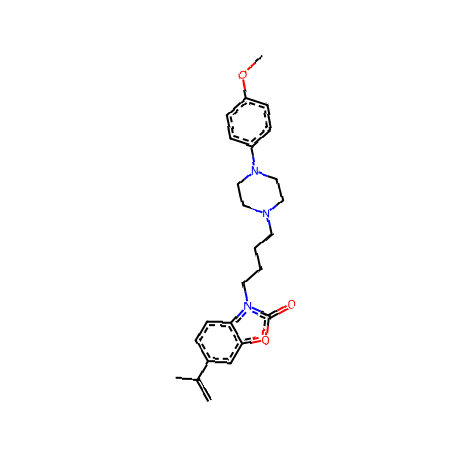 C=C(C)c1ccc2c(c1)oc(=O)n2CCCCN1CCN(c2ccc(OC)cc2)CC1